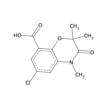 CN1C(=O)C(C)(C)Oc2c(C(=O)O)cc(Cl)cc21